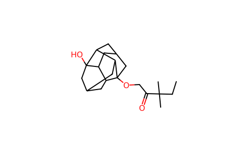 CCC(C)(C)C(=O)COC12CC3CC4C1CC1CC2C(C3)C4(O)C1